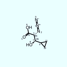 [N-]=[N+]=N[C@@H](C(=O)O)[C@H](O)C1CC1